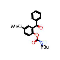 CCCCNC(=O)Oc1ccc(OC)cc1C(=O)c1ccccc1